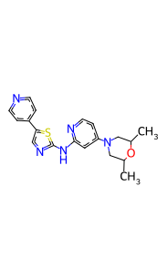 CC1CN(c2ccnc(Nc3ncc(-c4ccncc4)s3)c2)CC(C)O1